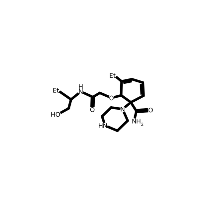 CCC1=CC=CC(C(N)=O)(N2CCNCC2)C1OCC(=O)NC(CC)CO